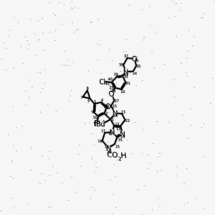 CC(C)(C)C1(c2ccc(C3CC3)cc2F)c2c(nc3n2CCN(C(=O)O)C3)CCN1C(=O)COc1ccc(N2CCOCC2)cc1Cl